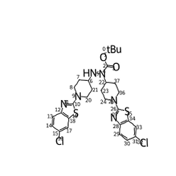 CC(C)(C)OC(=O)N(NC1CCN(c2nc3ccc(Cl)cc3s2)CC1)C1CCN(c2nc3ccc(Cl)cc3s2)CC1